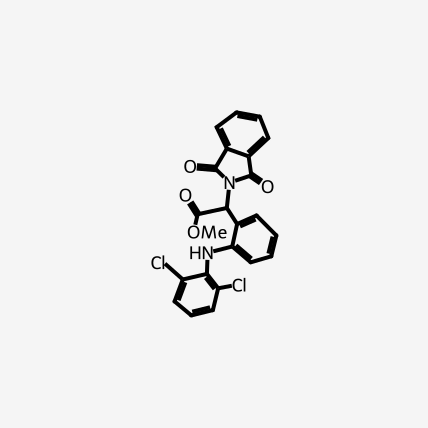 COC(=O)C(c1ccccc1Nc1c(Cl)cccc1Cl)N1C(=O)c2ccccc2C1=O